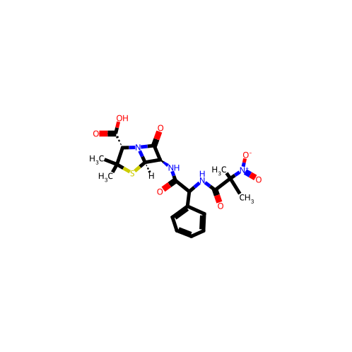 CC1(C)S[C@@H]2[C@H](NC(=O)C(NC(=O)C(C)(C)[N+](=O)[O-])c3ccccc3)C(=O)N2[C@H]1C(=O)O